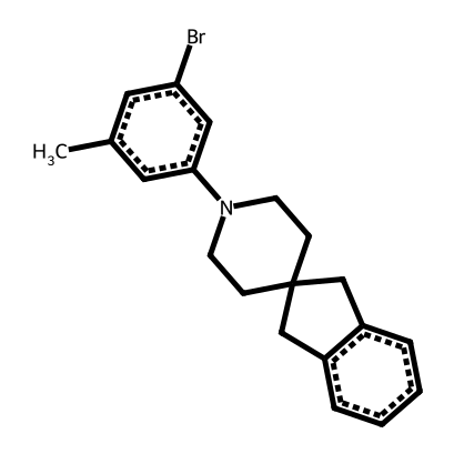 Cc1cc(Br)cc(N2CCC3(CC2)Cc2ccccc2C3)c1